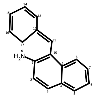 Nc1ccc2ccccc2c1/C=C1/C=CC=CC1